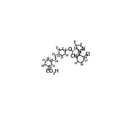 Cc1cc(OCc2c(C)cnn2-c2c(Cl)cccc2Cl)ccc1/C=C/c1cccc(C(=O)O)c1